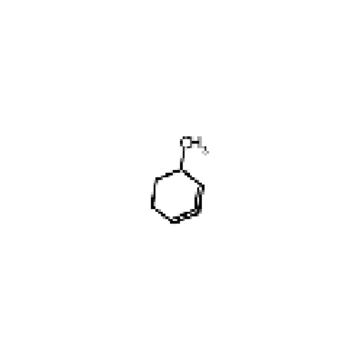 CC1C=C=CCC1